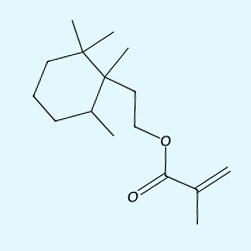 C=C(C)C(=O)OCCC1(C)C(C)CCCC1(C)C